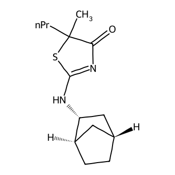 CCCC1(C)SC(N[C@@H]2C[C@@H]3CC[C@@H]2C3)=NC1=O